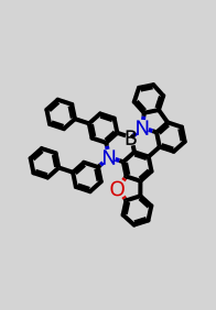 c1ccc(-c2cccc(N3c4cc(-c5ccccc5)ccc4B4c5c(cc6c(oc7ccccc76)c53)-c3cccc5c6ccccc6n4c35)c2)cc1